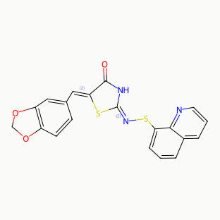 O=C1N/C(=N\Sc2cccc3cccnc23)S/C1=C\c1ccc2c(c1)OCO2